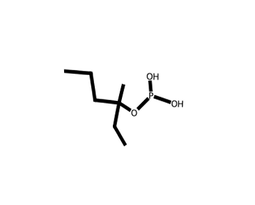 CCCC(C)(CC)OP(O)O